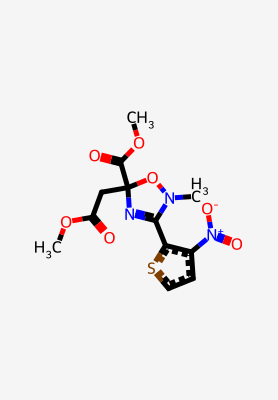 COC(=O)CC1(C(=O)OC)N=C(c2sccc2[N+](=O)[O-])N(C)O1